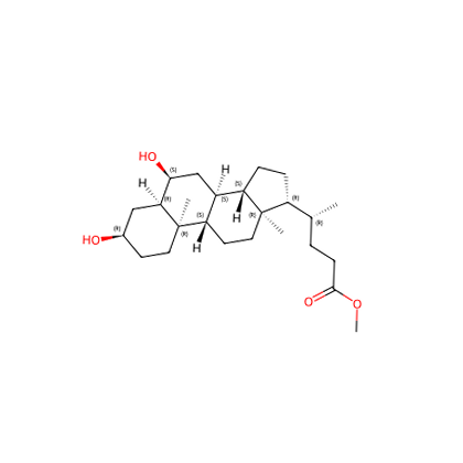 COC(=O)CC[C@@H](C)[C@H]1CC[C@H]2[C@@H]3C[C@H](O)[C@@H]4C[C@H](O)CC[C@]4(C)[C@H]3CC[C@]12C